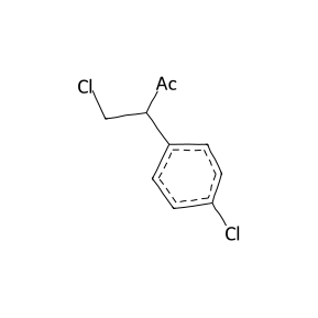 CC(=O)C(CCl)c1ccc(Cl)cc1